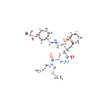 CCCN(CCC)C(=O)CCC(C(N)=O)[C@H](Cc1ccccc1)[C@@H](O)CNCc1cccc(OC)c1